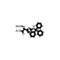 CON=C(C(=O)OC(C)=O)c1csc(NC(c2ccccc2)(c2ccccc2)c2ccccc2)n1